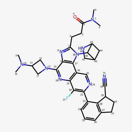 CN(C)C(=O)CCc1nc2c(N3CC(N(C)C)C3)nc3c(F)c(-c4cccc5c4C(C#N)CC5)ncc3c2n1C1C2CNC1C2